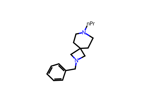 CCCN1CCC2(CC1)CN(Cc1ccccc1)C2